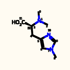 CN(C)[C@@H](Cc1cn(C)cn1)C(=O)O